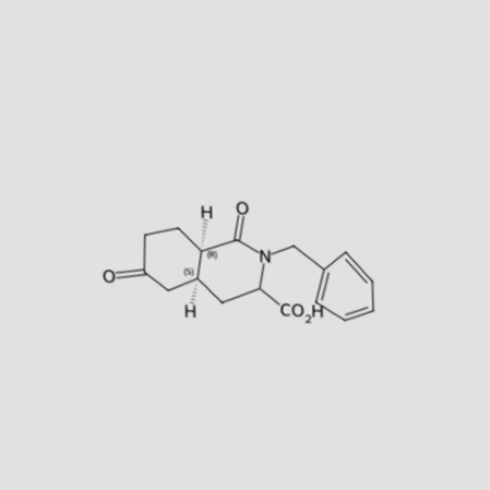 O=C1CC[C@H]2C(=O)N(Cc3ccccc3)C(C(=O)O)C[C@H]2C1